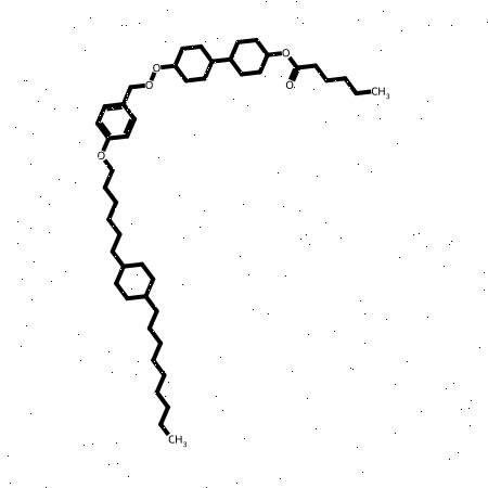 CCCCCCCCCC1CCC(CCCCCCOc2ccc(COOC3CCC(C4CCC(OC(=O)CCCCC)CC4)CC3)cc2)CC1